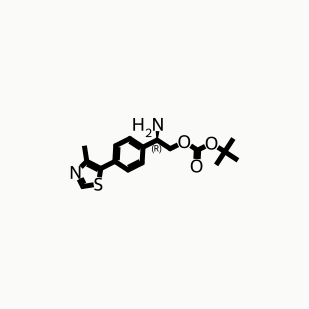 Cc1ncsc1-c1ccc([C@@H](N)COC(=O)OC(C)(C)C)cc1